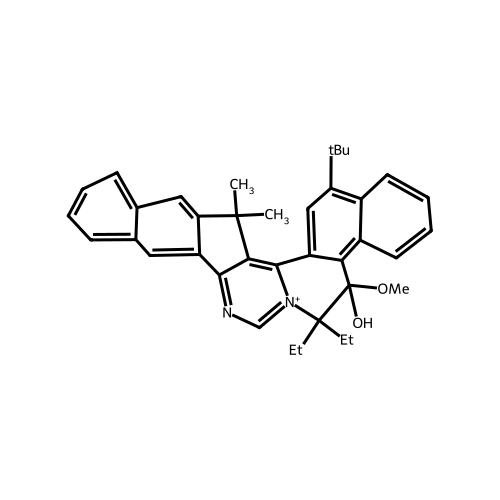 CCC1(CC)[n+]2cnc3c(c2-c2cc(C(C)(C)C)c4ccccc4c2C1(O)OC)C(C)(C)c1cc2ccccc2cc1-3